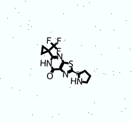 O=c1[nH]c(C2(C(F)(F)F)CC2)nc2sc([C@H]3CCCN3)nc12